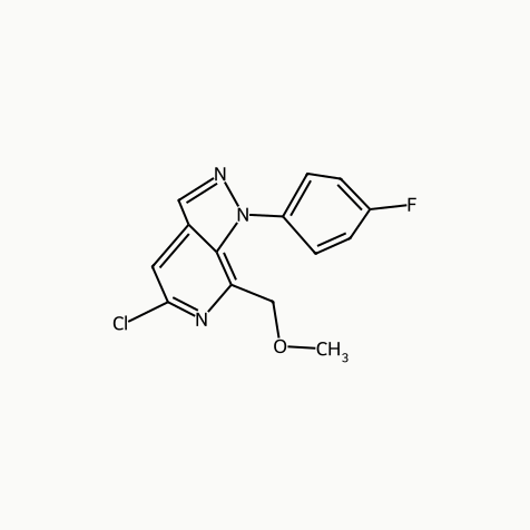 COCc1nc(Cl)cc2cnn(-c3ccc(F)cc3)c12